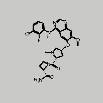 COc1cc2ncnc(Nc3cccc(Cl)c3F)c2cc1O[C@H]1C[C@H](C(=O)N2CC[C@H]2C(N)=O)N(C)C1